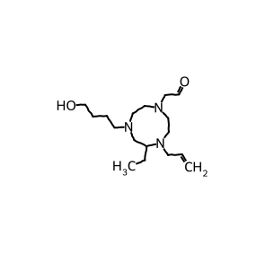 C=CCN1CCN(CC=O)CCN(CCCCO)CC1CC